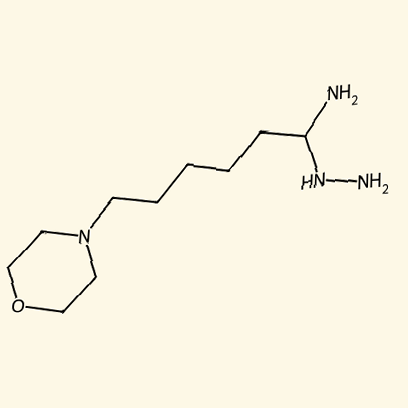 NNC(N)CCCCCN1CCOCC1